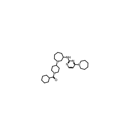 O=C(C1CCCCC1)N1CCC(N2CCCCC(Nc3nccc(N4CCCCCC4)n3)C2)CC1